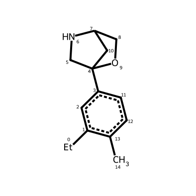 CCc1cc(C23CNC(CO2)C3)ccc1C